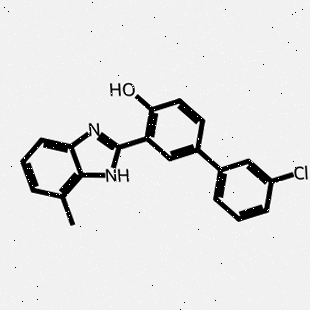 Cc1cccc2nc(-c3cc(-c4cccc(Cl)c4)ccc3O)[nH]c12